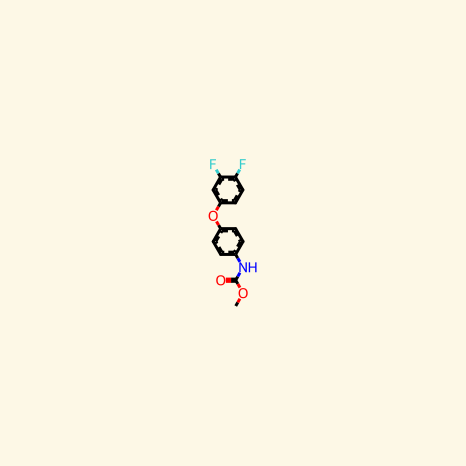 COC(=O)Nc1ccc(Oc2ccc(F)c(F)c2)cc1